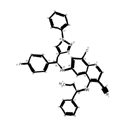 CC[C@@H](Nc1c(C#N)cnc2c(Cl)cc(N[C@@H](c3ccc(F)cc3)c3cn(-c4ccccc4)nn3)cc12)c1ccccc1